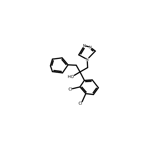 OC(Cc1ccccc1)(Cn1cnnc1)c1cccc(Cl)c1Cl